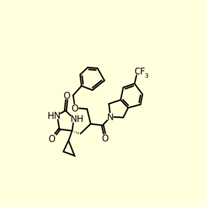 O=C1NC(=O)[C@](CC(COCc2ccccc2)C(=O)N2Cc3ccc(C(F)(F)F)cc3C2)(C2CC2)N1